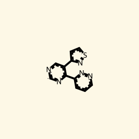 [c]1ncc(-c2ccsn2)c(-c2cccnn2)n1